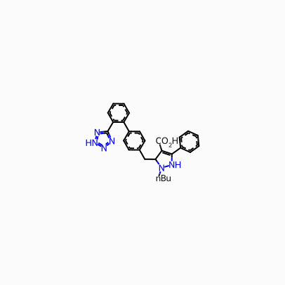 CCCCN1NC(c2ccccc2)=C(C(=O)O)C1Cc1ccc(-c2ccccc2-c2nn[nH]n2)cc1